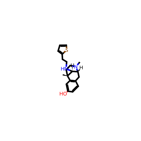 CN1CC[C@@]2(C)c3cc(O)ccc3C[C@@H]1[C@@H]2NCCc1cccs1